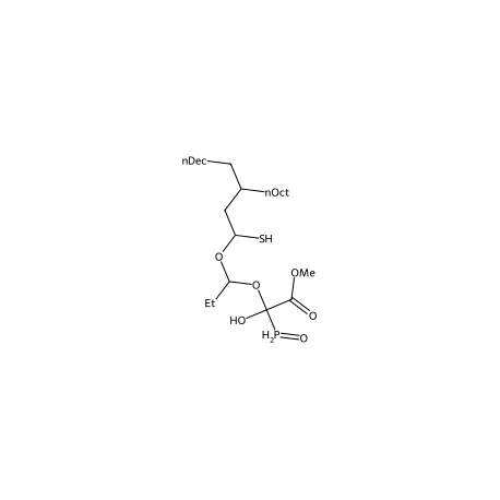 CCCCCCCCCCCC(CCCCCCCC)CC(S)OC(CC)OC(O)([PH2]=O)C(=O)OC